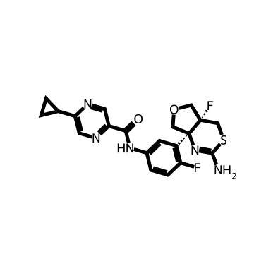 NC1=N[C@@]2(c3cc(NC(=O)c4cnc(C5CC5)cn4)ccc3F)COC[C@@]2(F)CS1